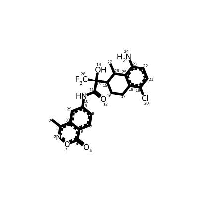 Cc1noc(=O)c2ccc(NC(=O)[C@](O)(C3CCc4c(Cl)ccc(N)c4C3C)C(F)(F)F)cc12